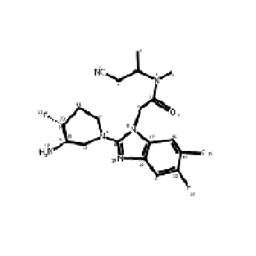 CC(CC#N)N(C)C(=O)Cn1c(N2CC[C@@H](F)[C@H](N)C2)nc2cc(F)c(F)cc21